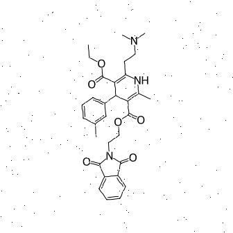 CCOC(=O)C1=C(CCN(C)C)NC(C)=C(C(=O)OCCN2C(=O)c3ccccc3C2=O)C1c1cccc(C)c1